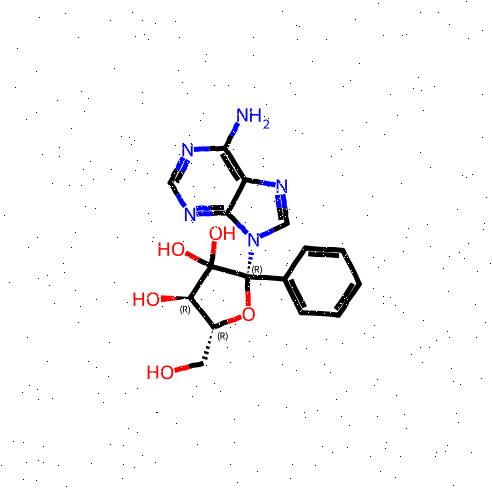 Nc1ncnc2c1ncn2[C@]1(c2ccccc2)O[C@H](CO)[C@@H](O)C1(O)O